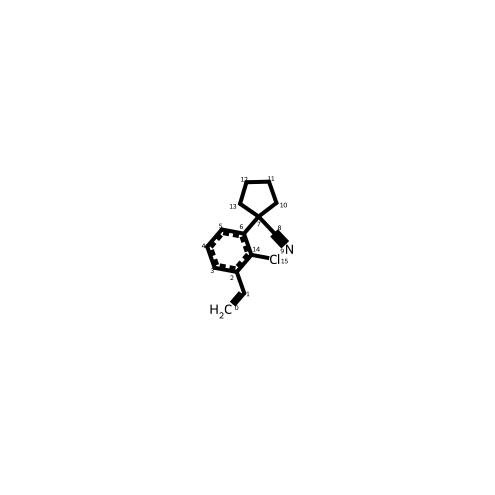 C=Cc1cccc(C2(C#N)CCCC2)c1Cl